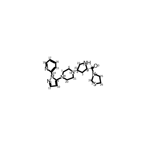 O=C([C@@H]1C[C@H](N2CCN(c3ccnn3-c3ccccn3)CC2)CN1)N1CCSC1